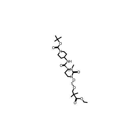 CCOC(=O)C(C)(C)COSON1CC[C@@H](C(=O)NC2CCN(C(=O)OC(C)(C)C)CC2)N(C)C1=O